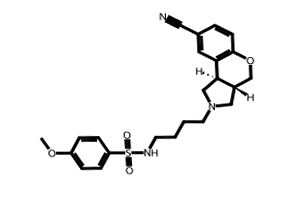 COc1ccc(S(=O)(=O)NCCCCN2C[C@H]3COc4ccc(C#N)cc4[C@@H]3C2)cc1